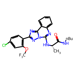 CCCCNC(=O)[C@H](C)Nc1nc2ccccc2c2nc(-c3ccc(Cl)cc3OC(F)(F)F)nn12